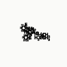 C[Si](C)(C)CCOCn1cnc2c(Nc3c(F)cccc3F)nc(-c3ccccc3F)nc21